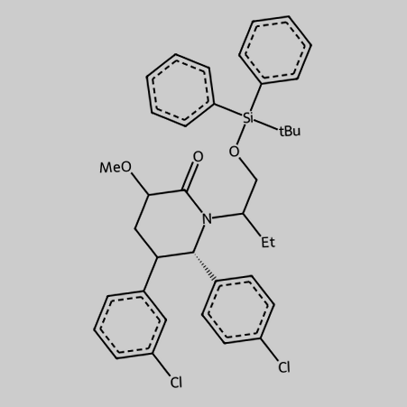 CCC(CO[Si](c1ccccc1)(c1ccccc1)C(C)(C)C)N1C(=O)C(OC)CC(c2cccc(Cl)c2)[C@H]1c1ccc(Cl)cc1